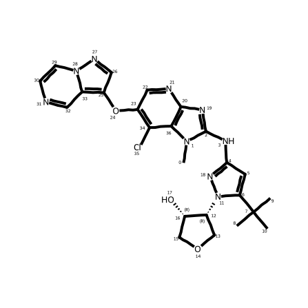 Cn1c(Nc2cc(C(C)(C)C)n([C@@H]3COC[C@@H]3O)n2)nc2ncc(Oc3cnn4ccncc34)c(Cl)c21